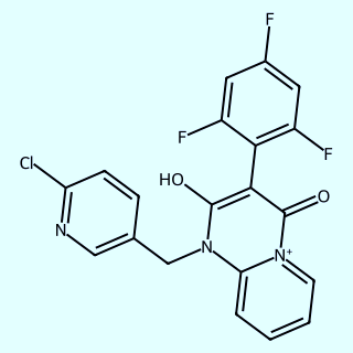 O=c1c(-c2c(F)cc(F)cc2F)c(O)n(Cc2ccc(Cl)nc2)c2cccc[n+]12